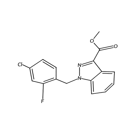 COC(=O)c1nn(Cc2ccc(Cl)cc2F)c2ccccc12